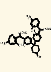 CCCCCCCCCCC(c1ccc(C2(c3ccc(C(CCCCCCCCCC)c4ccc(N)cc4C)cc3)CCC(CCC)CC2)cc1)c1ccc(N)cc1C